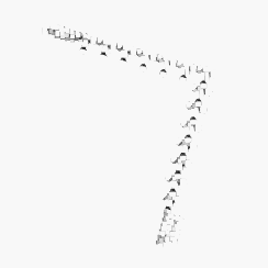 [Ba+2].[Ba+2].[Ba+2].[Ba+2].[La+3].[La+3].[La+3].[La+3].[O]=[Ti]([O-])[O-].[O]=[Ti]([O-])[O-].[O]=[Ti]([O-])[O-].[O]=[Ti]([O-])[O-].[O]=[Ti]([O-])[O-].[O]=[Ti]([O-])[O-].[O]=[Ti]([O-])[O-].[O]=[Zr]([O-])[O-].[O]=[Zr]([O-])[O-].[O]=[Zr]([O-])[O-].[O]=[Zr]([O-])[O-].[O]=[Zr]([O-])[O-].[O]=[Zr]([O-])[O-].[O]=[Zr]([O-])[O-].[Pb+2].[Pb+2].[Pb+2].[Pb+2]